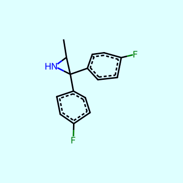 CC1NC1(c1ccc(F)cc1)c1ccc(F)cc1